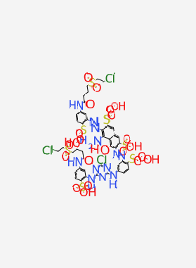 Nc1c(/N=N/c2cc(NC(=O)CCCS(=O)(=O)CCCl)ccc2SOOO)c(SOOO)cc2cc(S(=O)(=O)O)c(/N=N/c3cc(Nc4nc(Cl)nc(Nc5cc(NC(=O)CCCS(=O)(=O)CCCl)ccc5S(=O)(=O)O)n4)ccc3SOOO)c(O)c12